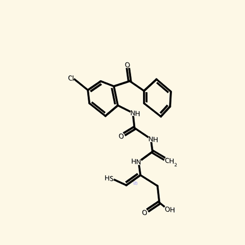 C=C(NC(=O)Nc1ccc(Cl)cc1C(=O)c1ccccc1)N/C(=C\S)CC(=O)O